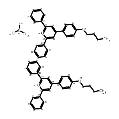 CCCCOc1ccc(-c2cc(-c3ccccc3)[o+]c(-c3ccccc3)c2)cc1.CCCCOc1ccc(-c2cc(-c3ccccc3)[o+]c(-c3ccccc3)c2)cc1.[O-]B([O-])F